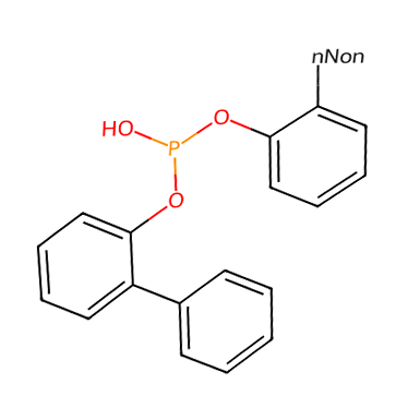 CCCCCCCCCc1ccccc1OP(O)Oc1ccccc1-c1ccccc1